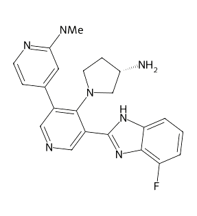 CNc1cc(-c2cncc(-c3nc4c(F)cccc4[nH]3)c2N2CC[C@H](N)C2)ccn1